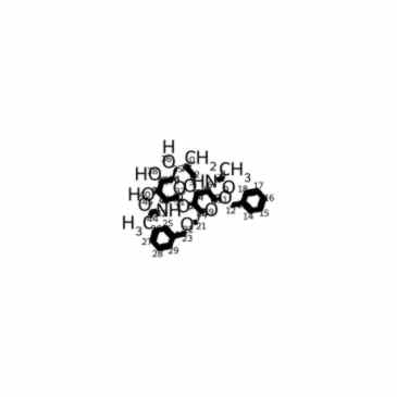 C=CCO[C@@H]1[C@H](NC(C)=O)[C@@H](OCc2ccccc2)O[C@H](COCc2ccccc2)[C@H]1O[C@@H]1O[C@H](CO)[C@@H](O)[C@H](O)[C@@H]1NC(C)=O